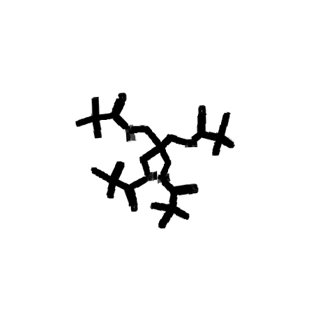 CC(C)(C)C(=O)NCC(CNC(=O)C(C)(C)C)(CNC(=O)C(C)(C)C)CNC(=O)C(C)(C)C